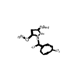 CCCCCC1CC(OCCC)N(C(=O)c2ccc([N+](=O)[O-])cc2)N1